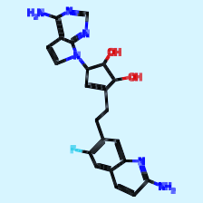 Nc1ccc2cc(F)c(CCC3=CC(n4ccc5c(N)ncnc54)C(O)C3O)cc2n1